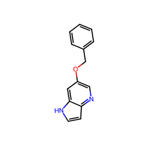 c1ccc(COc2cnc3cc[nH]c3c2)cc1